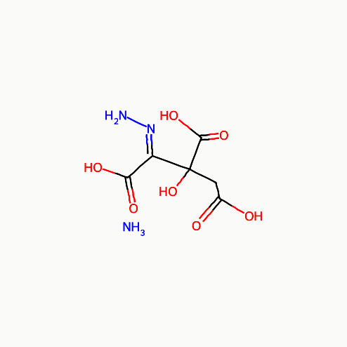 N.NN=C(C(=O)O)C(O)(CC(=O)O)C(=O)O